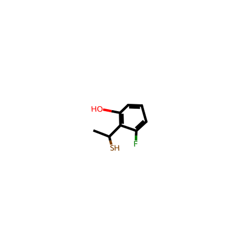 CC(S)c1c(O)cccc1F